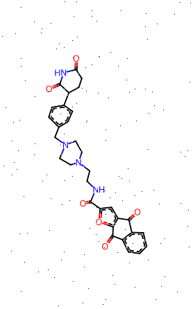 O=C1CCC(c2ccc(CN3CCN(CCNC(=O)c4cc5c(o4)C(=O)c4ccccc4C5=O)CC3)cc2)C(=O)N1